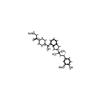 COc1cc(CCC(C)(C)N2Cc3cccc(C(O)N4CCN(C(=O)CNC(C)=O)CC4)c3C2)ccc1O